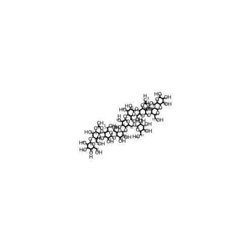 CC(=O)O[C@@H]1C(O)[C@H](OC2OC(CO)C(O)C(O)C2O)C(CO)O[C@@H]1OC1C(CO)OC(O[C@@H]2C(CO)O[C@H](OC3C(CO[C@H]4OC(CO)[C@H](O)[C@@H](O)C4O)OC(O[C@@H]4C(CO)O[C@H](O[C@@H]5C(CO)O[C@H](O[C@H]6C(O)C[C@@H](OC7C(CO)OC(O)C(O)C7O)OC6CO)C(O)[C@@H]5OC(C)=O)[C@@H](O)C4O)C(O)C3O)[C@@H](O)C2O)C(O)C1O